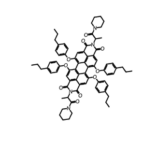 CCCc1ccc(Oc2cc3c4c(cc(Oc5ccc(CCC)cc5)c5c6c(Oc7ccc(CCC)cc7)cc7c8c(cc(Oc9ccc(CCC)cc9)c(c2c45)c86)C(=O)N(C(C)C(=O)N2CCCCC2)C7=O)C(=O)N(C(C)C(=O)N2CCCCC2)C3=O)cc1